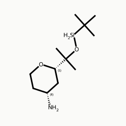 CC(C)(C)[SiH2]OC(C)(C)[C@@H]1C[C@H](N)CCO1